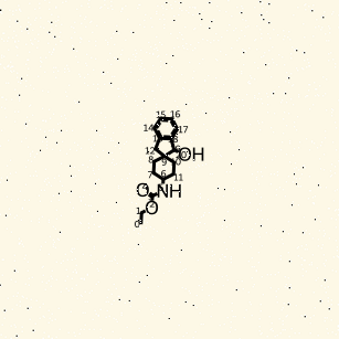 CCOC(=O)NC1CCC2(CC1)Cc1ccccc1C2O